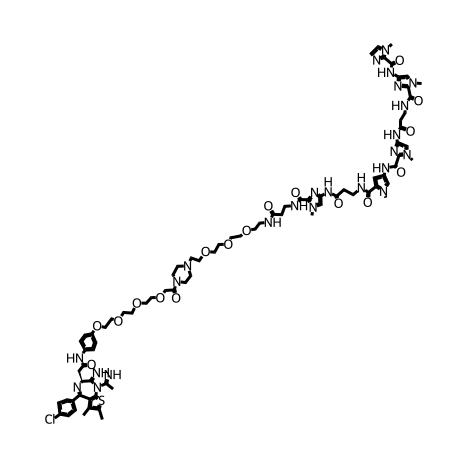 CC(=N)N1C(=N)[C@H](CC(=O)Nc2ccc(OCCOCCOCCOCC(=O)N3CCN(CCOCCOCCOCCNC(=O)CCNC(=O)c4nc(NC(=O)CCNC(=O)c5cc(NC(=O)c6nc(NC(=O)CCNC(=O)c7nc(NC(=O)c8nccn8C)cn7C)cn6C)cn5C)cn4C)CC3)cc2)N=C(c2ccc(Cl)cc2)c2c1sc(C)c2C